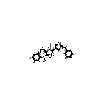 CN1C(=O)[C@@H](NC(=O)c2cnn(Cc3ccccc3)c2)COc2ccccc21